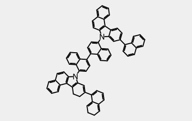 C1=C(c2cccc3c2=CCCC=3)CCc2c1n(-c1ccc(-c3ccc(-n4c5cc(-c6cccc7ccccc67)ccc5c5c6ccccc6ccc54)c4ccccc34)c3ccccc13)c1ccc3ccccc3c21